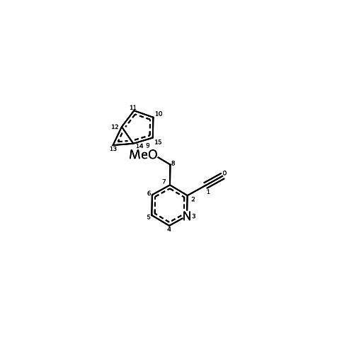 C#Cc1ncccc1COC.c1cc2cc-2c1